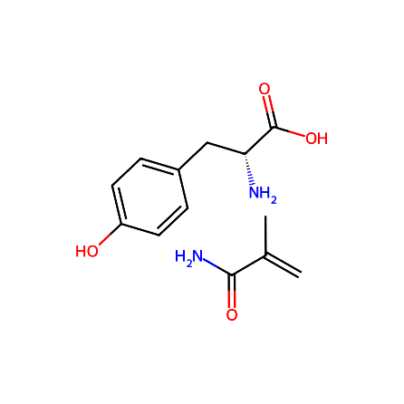 C=C(C)C(N)=O.N[C@H](Cc1ccc(O)cc1)C(=O)O